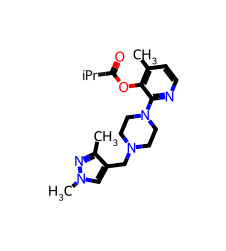 Cc1ccnc(N2CCN(Cc3cn(C)nc3C)CC2)c1OC(=O)C(C)C